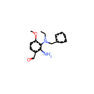 CCN(Cc1ccccc1)c1c(OC)ccc(C=O)c1N